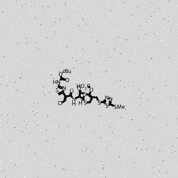 CSc1nnc(SCC2=C(OC(=O)O)N3C(=O)C(NC(=O)C(=CCl)c4csc(NC(=O)OC(C)(C)C)n4)[C@@H]3SC2)s1